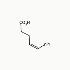 CCC/C=C\CCC(=O)O